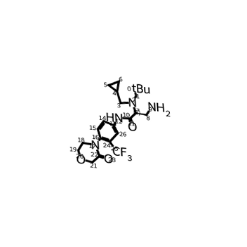 CC(C)(C)CN(CC1CC1)[C@@H](CN)C(=O)Nc1ccc(N2CCOCC2=O)c(C(F)(F)F)c1